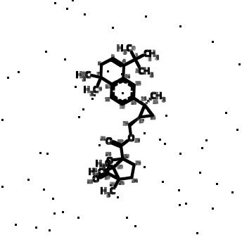 CC(C)(C)C1=CCC(C)(C)c2ccc([C@@]3(C)C[C@H]3COC(=O)C34CCC(C)(C(=O)O3)C4(C)C)cc21